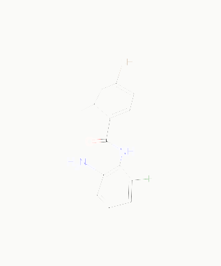 CC1CC(S)=CC=C1C(=O)Nc1c(N)cccc1F